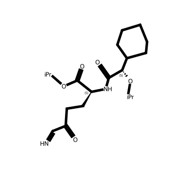 CC(C)OC(=O)[C@H](CCC(=O)C=N)NC(=O)[C@@H](OC(C)C)C1CCCCC1